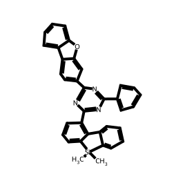 C[Si]1(C)c2ccccc2-c2c(-c3nc(-c4ccccc4)nc(-c4ccc5c(c4)oc4ccccc45)n3)cccc21